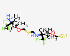 CC(N)(C(F)(F)F)[Si](C)(C)OCSCNC(C)(C(F)(F)F)[Si](C)(C)OCS